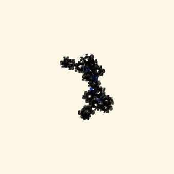 c1ccc(-c2cc(C34CC5CC(CC(C5)C3)C4)ccc2N(c2ccccc2)c2ccc3c4cc5c(cc4n4c6ccccc6c2c34)c2ccc(N(c3ccccc3)c3ccc(C46CC7CC(CC(C7)C4)C6)cc3-c3ccccc3)c3c4ccccc4n5c23)cc1